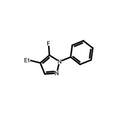 CCc1cnn(-c2ccccc2)c1F